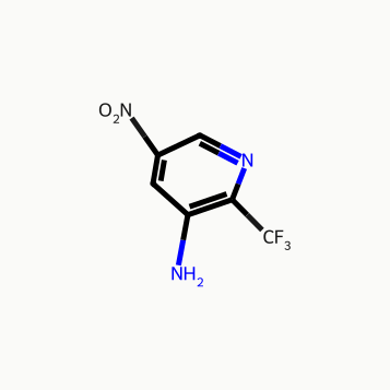 Nc1cc([N+](=O)[O-])cnc1C(F)(F)F